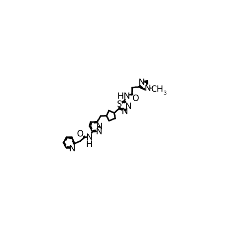 Cn1cnc(CC(=O)Nc2nnc(C3CCC(Cc4ccc(NC(=O)Cc5ccccn5)nn4)C3)s2)c1